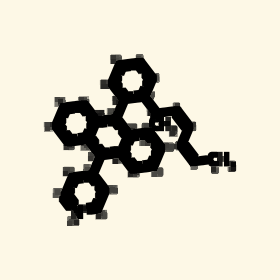 C=C(/C=C\C=C/C)c1ccccc1-c1c2ccccc2c(-c2cc#[n+]cc2)c2ccccc12